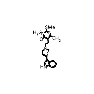 CSc1nc(C)c(CCN2CC=C(c3c[nH]c4ccccc34)CC2)c(=O)n1C